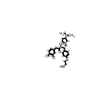 CN(C)C1CCN(C[C@H](c2ccc(OCCO)cc2)N(C)C(=O)Cc2ccc(Cl)c(Cl)c2)C1